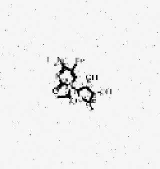 CC(=O)[N+]1([C@@H]2O[C@H](C)[C@@H](O)[C@H]2O)C=C(F)C(N)=NC1=O